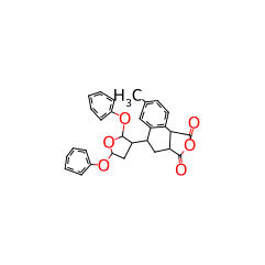 Cc1ccc2c(c1)C(C1CC(Oc3ccccc3)OC1Oc1ccccc1)CC1C(=O)OC(=O)C21